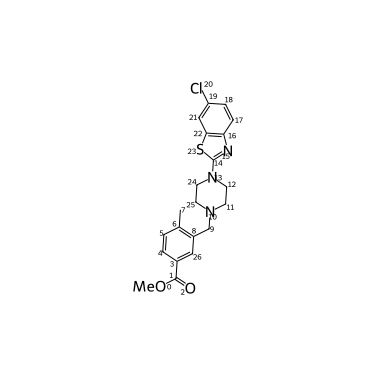 COC(=O)c1ccc(C)c(CN2CCN(c3nc4ccc(Cl)cc4s3)CC2)c1